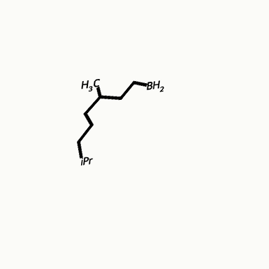 BCCC(C)CCCC(C)C